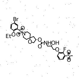 CCOc1ccc(Br)cc1S(=O)(=O)N1CCC2(CC1)C[C@H](OC(=O)NCC(O)COc1cccc(S(C)(=O)=O)c1F)CO2